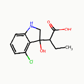 CCC(C(=O)O)C1(O)CNc2cccc(Cl)c21